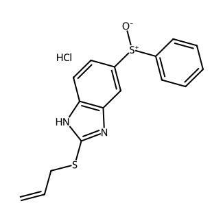 C=CCSc1nc2cc([S+]([O-])c3ccccc3)ccc2[nH]1.Cl